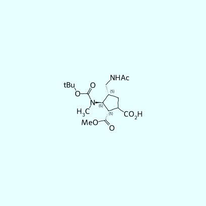 COC(=O)[C@H]1C(C(=O)O)C[C@@H](CNC(C)=O)[C@@H]1N(C)C(=O)OC(C)(C)C